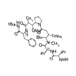 CCC(C)C(C(CC(=O)N1CCCC1C(OC)C(C)C(=O)NC(Cc1ccccc1)C(=O)NC(C)(C)C)OC)N(C)C(=O)[C@@H](NC(=O)C(NC)C(C)C)C(C)C